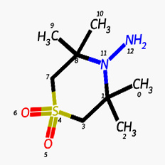 CC1(C)CS(=O)(=O)CC(C)(C)N1N